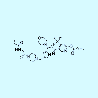 C=CC(=O)NCC(=O)N1CCN(Cc2cc3c(N4CCOCC4)nc(-c4cnc(OC(N)=O)cc4C(F)(F)F)nn3c2)CC1